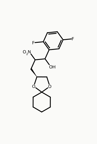 O=[N+]([O-])C(C[C@H]1COC2(CCCCC2)O1)C(O)c1cc(F)ccc1F